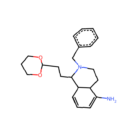 NC1=CC=CC2C1CCN(Cc1ccccc1)C2CCC1OCCCO1